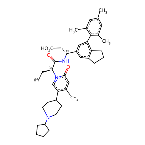 Cc1cc(C)c(-c2cc([C@@H](CC(=O)O)NC(=O)[C@H](CC(C)C)n3cc(C4CCN(C5CCCC5)CC4)c(C(F)(F)F)cc3=O)cc3c2CCC3)c(C)c1